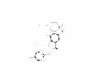 CCC(O)(c1cc(F)c2c(c1)C(=O)N(Cc1ncc(Cl)cn1)[C@@H]2OC)C1(F)CCN(C)CC1